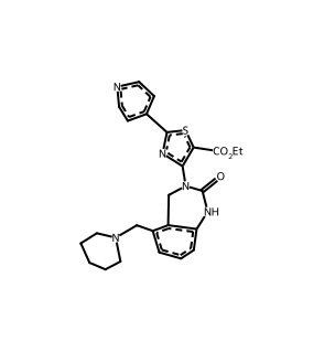 CCOC(=O)c1sc(-c2ccncc2)nc1N1Cc2c(CN3CCCCC3)cccc2NC1=O